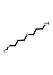 CCOCCCOCCC[NH]